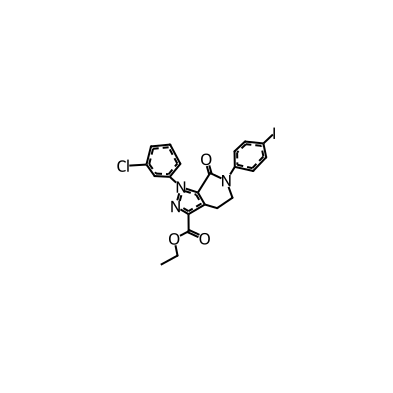 CCOC(=O)c1nn(-c2cccc(Cl)c2)c2c1CCN(c1ccc(I)cc1)C2=O